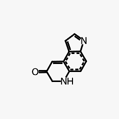 O=C1C=c2c(ccc3c2=CC=N3)NC1